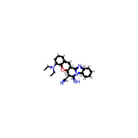 CCN(CC)c1cccc2cc3c(oc12)c(C#N)c(=N)n1c2ccccc2nc31